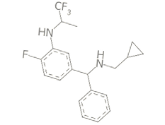 CC(Nc1cc(C(NCC2CC2)c2ccccc2)ccc1F)C(F)(F)F